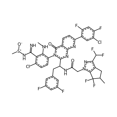 CNc1c(-n2c(C(Cc3cc(F)cc(F)c3)NC(=O)Cn3nc(C(F)F)c4c3C(F)(F)C(C)C4)nc3nc(-c4cc(Cl)c(F)cc4F)ccc3c2=O)ccc(Cl)c1C(=N)N[S+](C)[O-]